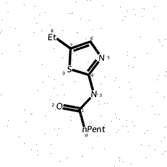 CCCCCC(=O)[N]c1ncc(CC)s1